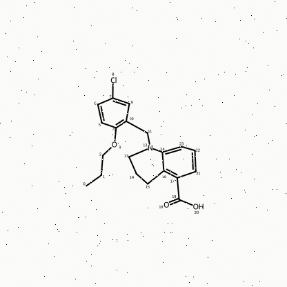 CCCOc1ccc(Cl)cc1CN1CCCc2c(C(=O)O)cccc21